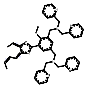 C\C=C/C=c1/nc(-c2cc(CN(Cc3ccccn3)Cc3ccccn3)cc(CN(Cc3ccccn3)Cc3ccccn3)c2OC)o/c1=C/C